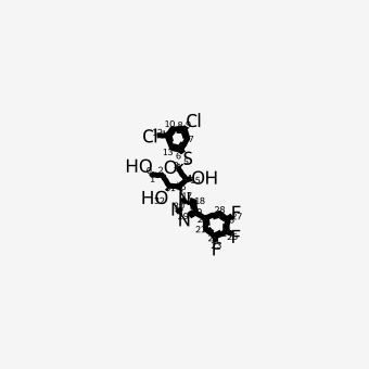 OCC1O[C@H](Sc2cc(Cl)cc(Cl)c2)C(O)[C@@H](n2cc(-c3cc(F)c(F)c(F)c3)nn2)[C@H]1O